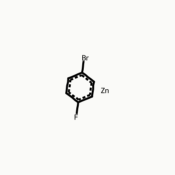 Fc1ccc(Br)cc1.[Zn]